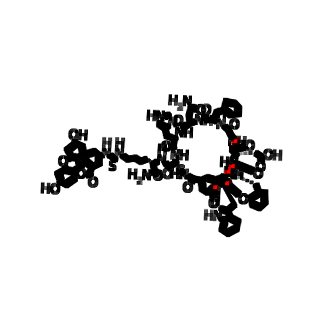 NC(=O)CC1NC(=O)C(Cc2ccccc2)NC(=O)C2CCCCNC(=O)c3cc(cc(c3)C(=O)N[C@@H](Cc3c[nH]c4ccccc34)C(=O)N[C@H](Cc3ccccc3)C(=O)N[C@@H](CC(=O)O)C(=O)N2)C(=O)NCC(C(=O)N[C@@H](CCCCNC(=S)Nc2ccc3c(c2)C(=O)OC32c3ccc(O)cc3Oc3cc(O)ccc32)C(N)=O)NC(=O)C(Cc2c[nH]cn2)NC1=O